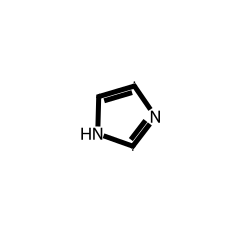 [c]1c[nH][c]n1